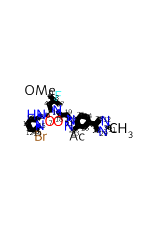 COC[C@@]1(F)C[C@@H](C(=O)Nc2cccc(Br)n2)N(C(=O)Cn2nc(C(C)=O)c3cc(-c4cnc(C)nc4)ccc32)C1